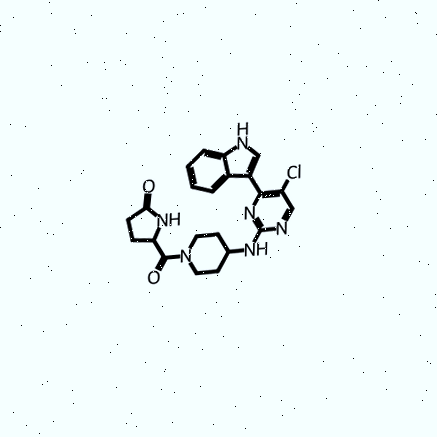 O=C1CCC(C(=O)N2CCC(Nc3ncc(Cl)c(-c4c[nH]c5ccccc45)n3)CC2)N1